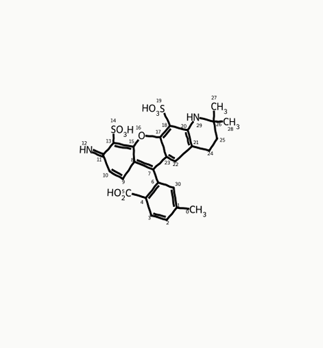 Cc1ccc(C(=O)O)c(-c2c3ccc(=N)c(S(=O)(=O)O)c-3oc3c(S(=O)(=O)O)c4c(cc23)CCC(C)(C)N4)c1